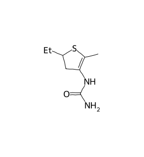 CCC1CC(NC(N)=O)=C(C)S1